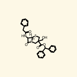 O=C(Cc1ccccc1)NC1C(=O)N2CC(CO)(C(=O)OC(c3ccccc3)c3ccccc3)CS[C@H]12